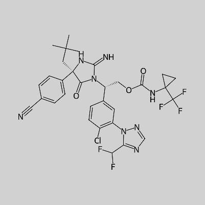 CC(C)(C)C[C@]1(c2ccc(C#N)cc2)NC(=N)N([C@H](COC(=O)NC2(C(F)(F)F)CC2)c2ccc(Cl)c(-n3ncnc3C(F)F)c2)C1=O